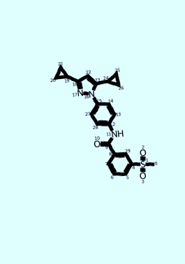 CS(=O)(=O)c1cccc(C(=O)Nc2ccc(-n3nc(C4CC4)cc3C3CC3)cc2)c1